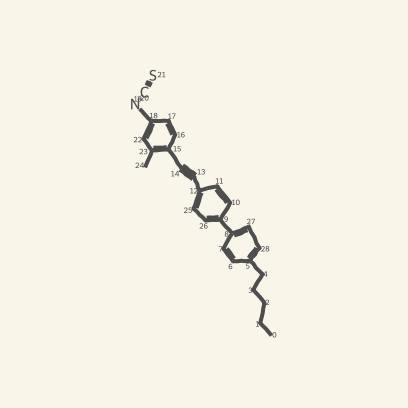 CCCCCc1ccc(-c2ccc(C#Cc3ccc(N=C=S)cc3C)cc2)cc1